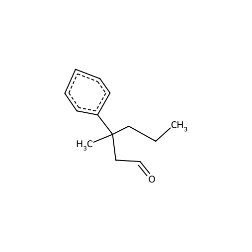 CCCC(C)(CC=O)c1ccccc1